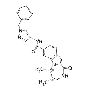 C[C@H]1CNC(=O)c2cc3ccc(C(=O)Nc4cnn(Cc5ccccc5)c4)cc3n2[C@H]1C